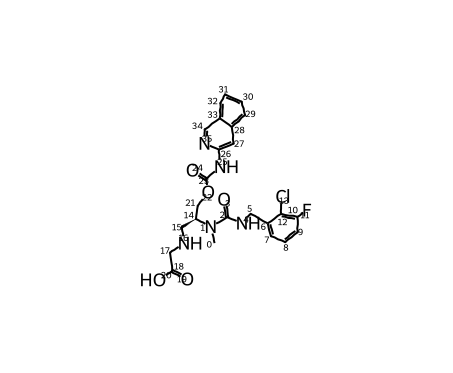 CN(C(=O)NCc1cccc(F)c1Cl)[C@@H](CNCC(=O)O)COC(=O)Nc1cc2ccccc2cn1